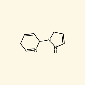 C1=CC(N2CC=CN2)N=CC1